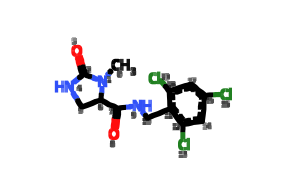 CN1C(=O)NCC1C(=O)NCc1c(Cl)cc(Cl)cc1Cl